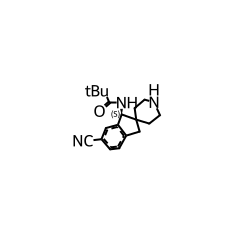 CC(C)(C)C(=O)N[C@@H]1c2cc(C#N)ccc2CC12CCNCC2